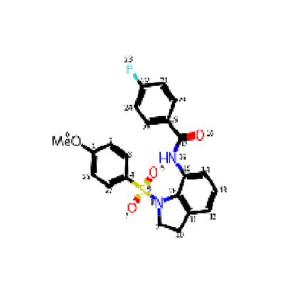 COc1ccc(S(=O)(=O)N2CCc3cccc(NC(=O)c4ccc(F)cc4)c32)cc1